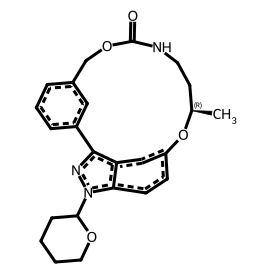 C[C@@H]1CCNC(=O)OCc2cccc(c2)-c2nn(C3CCCCO3)c3ccc(cc23)O1